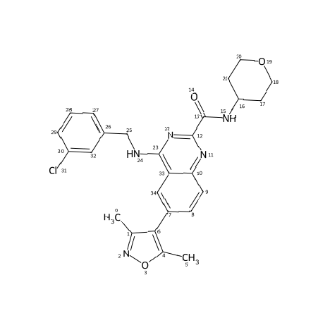 Cc1noc(C)c1-c1ccc2nc(C(=O)NC3CCOCC3)nc(NCc3cccc(Cl)c3)c2c1